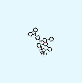 CCC12C3C[C@@H]1CC(c1ccccc1-c1cccc(-c4ccccc4N(c4ccc(-c5ccccc5)cc4)c4ccc(-n5c6ccccc6c6ccccc65)cc4)c1)[C@@H]2C3